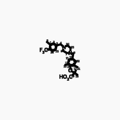 Cc1cc(CN2CCN(Cc3cc(C)c(OC(C)(C)C(=O)O)c(C)c3)CC2)ccc1C(F)(F)F